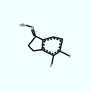 CCCC/N=C1\CCc2c1ccc(F)c2F